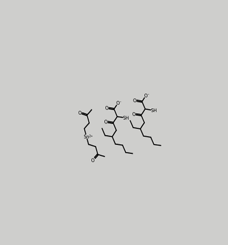 CC(=O)C[CH2][Sn+2][CH2]CC(C)=O.CCCCC(CC)CC(=O)C(S)C(=O)[O-].CCCCC(CC)CC(=O)C(S)C(=O)[O-]